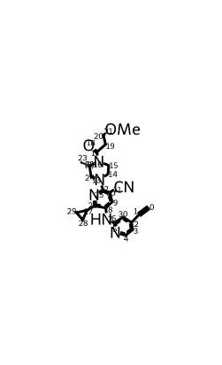 C#Cc1ccnc(Nc2cc(C#N)c(N3CCN(C(=O)CCOC)[C@H](C)C3)nc2C2CC2)c1